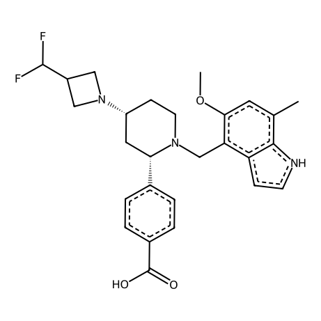 COc1cc(C)c2[nH]ccc2c1CN1CC[C@@H](N2CC(C(F)F)C2)C[C@H]1c1ccc(C(=O)O)cc1